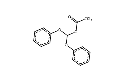 O=C(OC(Oc1ccccc1)Oc1ccccc1)C(Cl)(Cl)Cl